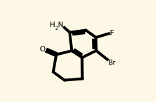 Nc1cc(F)c(Br)c2c1C(=O)CCC2